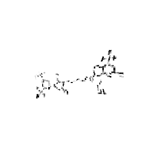 CCCc1c(OCCCCCN2C(=O)CN(c3cc(C(F)(F)F)cc(C(F)(F)F)c3)C2=O)ccc2c(C(F)(F)F)cc(=O)oc12